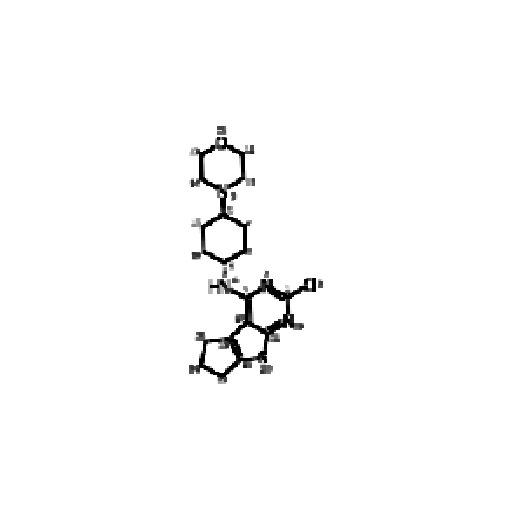 Clc1nc(N[C@H]2CC[C@H](N3CCOCC3)CC2)c2c3c(sc2n1)CCC3